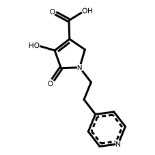 O=C(O)C1=C(O)C(=O)N(CCc2ccncc2)C1